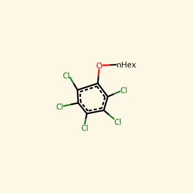 CCCCCCOc1c(Cl)c(Cl)c(Cl)c(Cl)c1Cl